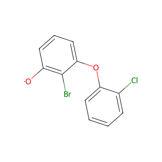 [O]c1cccc(Oc2ccccc2Cl)c1Br